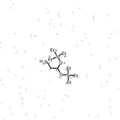 CC[Si](CC)(CC)OC(C[SiH3])O[Si](CC)(CC)CC